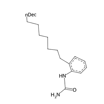 CCCCCCCCCCCCCCCCCc1ccccc1NC(N)=O